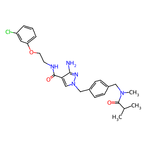 CC(C)C(=O)N(C)Cc1ccc(Cn2cc(C(=O)NCCOc3cccc(Cl)c3)c(N)n2)cc1